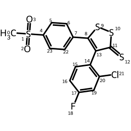 CS(=O)(=O)c1ccc(-c2ssc(=S)c2-c2ccc(F)cc2Cl)cc1